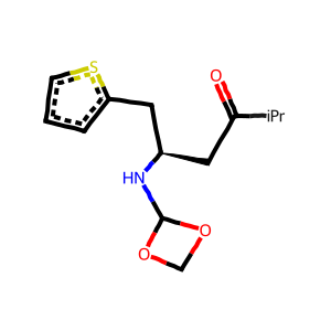 CC(C)C(=O)C[C@H](Cc1cccs1)NC1OCO1